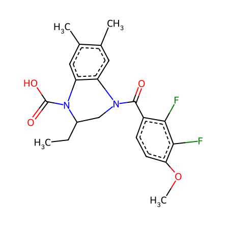 CCC1CN(C(=O)c2ccc(OC)c(F)c2F)c2cc(C)c(C)cc2N1C(=O)O